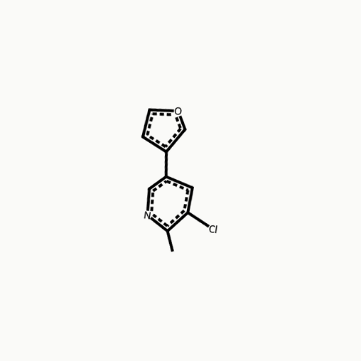 Cc1ncc(-c2ccoc2)cc1Cl